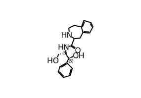 O=C(N[C@@H](CO)[C@@H](O)c1ccccc1)C1Cc2ccccc2CCN1